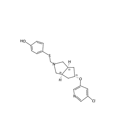 Oc1ccc(SCN2C[C@H]3C[C@H](Oc4cncc(Cl)c4)C[C@H]3C2)cc1